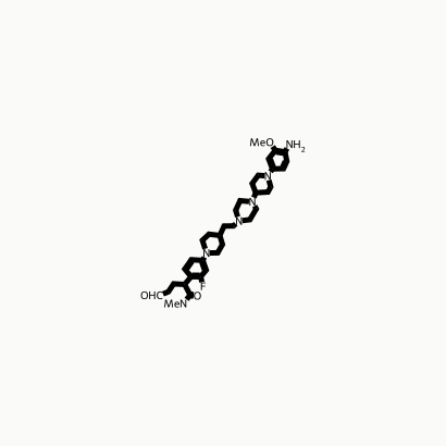 CNC(=O)C(CCC=O)c1ccc(N2CCC(CCN3CCN(C4CCN(c5ccc(N)c(OC)c5)CC4)CC3)CC2)cc1F